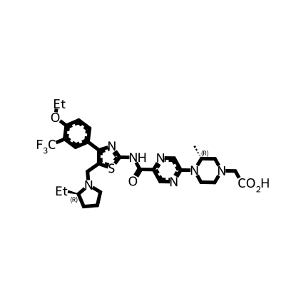 CCOc1ccc(-c2nc(NC(=O)c3cnc(N4CCN(CC(=O)O)C[C@H]4C)cn3)sc2CN2CCC[C@H]2CC)cc1C(F)(F)F